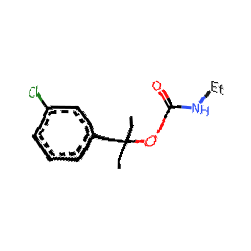 CCNC(=O)OC(C)(C)c1cccc(Cl)c1